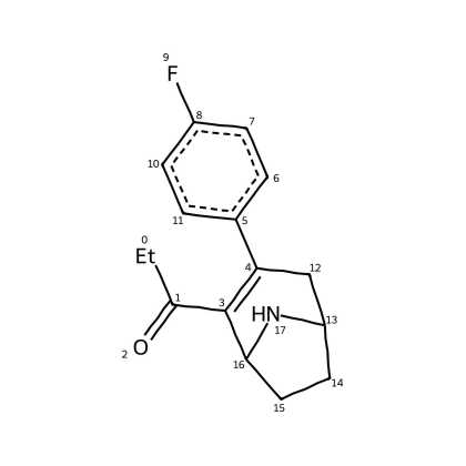 CCC(=O)C1=C(c2ccc(F)cc2)CC2CCC1N2